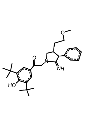 COCC[C@@H]1CN(CC(=O)c2cc(C(C)(C)C)c(O)c(C(C)(C)C)c2)C(=N)[C@@H]1c1ccccc1